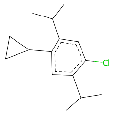 CC(C)c1cc(C2CC2)c(C(C)C)cc1Cl